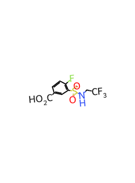 O=C(O)c1ccc(F)c(S(=O)(=O)NCC(F)(F)F)c1